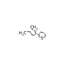 C=C\C=C(/C=C\C=C/C)C1=CSC=CC=C1